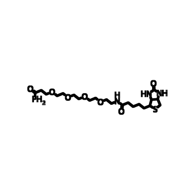 O=C(P)CCOCCOCCOCCOCCNC(=O)CCCCC1SCC2NC(=O)NC21